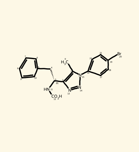 Cc1c([C@@H](Cc2ccccc2)NC(=O)O)nnn1-c1ccc(Br)cc1